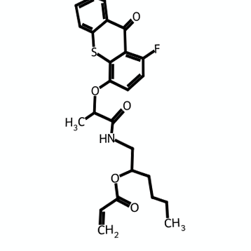 C=CC(=O)OC(CCCC)CNC(=O)C(C)Oc1ccc(F)c2c(=O)c3ccccc3sc12